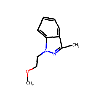 COCCn1nc(C)c2ccccc21